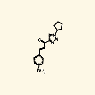 O=C(/C=C/c1ccc([N+](=O)[O-])cc1)c1cn(C2CCCC2)nn1